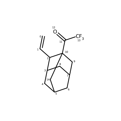 C=CC1C2CC3CC(C2)CC1(C(=O)C(F)(F)F)C3